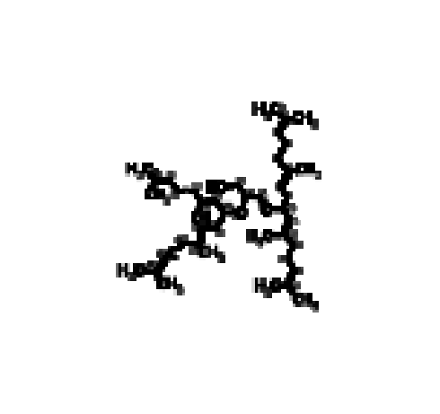 CC(C)=CCC/C(C)=C/CC(/C=C(\C)CCC=C(C)C)OCC(CO)OC(/C=C(\C)CCC=C(C)C)C/C=C(\C)CCC=C(C)C